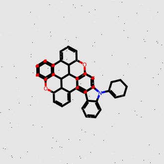 C1#CC2C(C=C1)OC1C=CC=C(c3ccccc3)C1C2C1c2ccccc2OC2C=CC=C(c3cccc4c3c3ccccc3n4C3=CCCCC3)C21